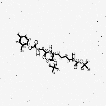 Cc1ccc(OC(=O)NCC(=O)N[C@@H](CCCCNC(=O)OC(C)(C)C)C(=O)OC(C)(C)C)c(C)c1